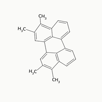 Cc1cc2c3cc(C)c(C)c4cccc(c5cccc(c1C)c52)c43